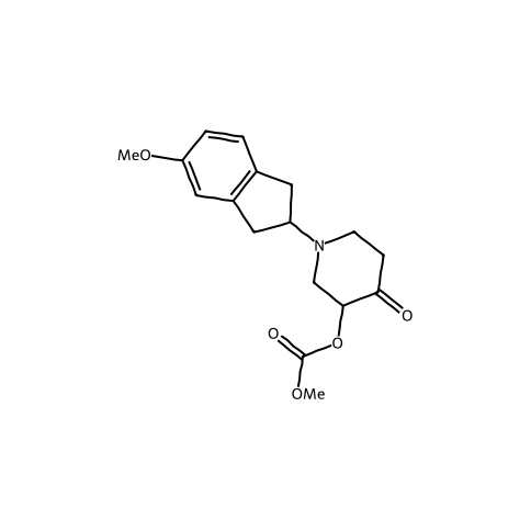 COC(=O)OC1CN(C2Cc3ccc(OC)cc3C2)CCC1=O